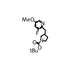 COc1cnc(CC2CCN(C(=O)OC(C)(C)C)C2)c(F)c1